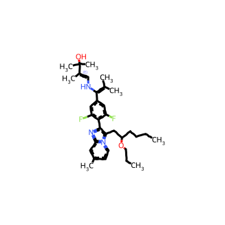 CCCCC(Cc1c(-c2c(F)cc(C(N/C=C(\C)C(C)(C)O)=C(C)C)cc2F)nc2cc(C)ccn12)OCCC